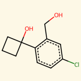 OCc1cc(Cl)ccc1C1(O)CCC1